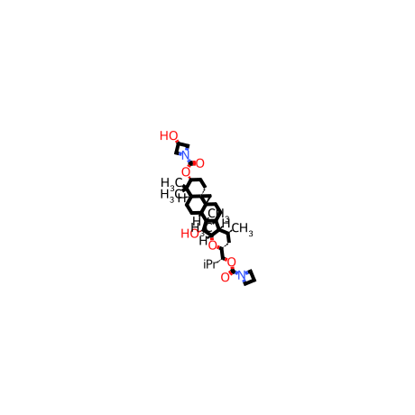 CC(C)[C@@H](OC(=O)N1CCC1)[C@H]1C[C@@H](C)[C@H]2[C@H](O1)[C@H](O)[C@@]1(C)[C@@H]3CC[C@H]4C(C)(C)[C@@H](OC(=O)N5CC(O)C5)CC[C@@]45C[C@@]35CC[C@]21C